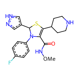 CONC(=O)C1=C(C2CCNCC2)SC(c2cn[nH]c2)N1c1ccc(F)cc1